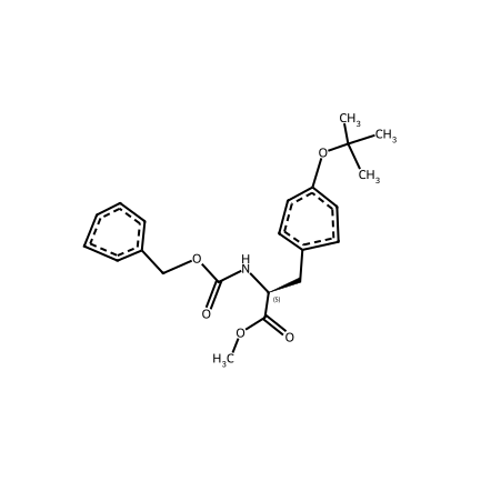 COC(=O)[C@H](Cc1ccc(OC(C)(C)C)cc1)NC(=O)OCc1ccccc1